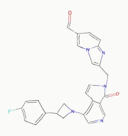 O=Cc1ccc2nc(Cn3ccc4c(N5CC(c6ccc(F)cc6)C5)cncc4c3=O)cn2c1